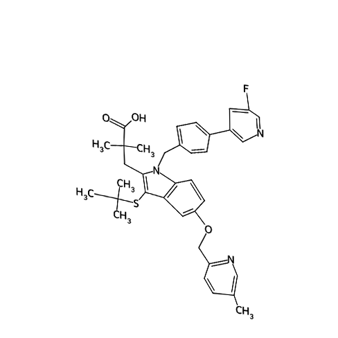 Cc1ccc(COc2ccc3c(c2)c(SC(C)(C)C)c(CC(C)(C)C(=O)O)n3Cc2ccc(-c3cncc(F)c3)cc2)nc1